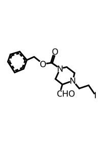 O=CC1CN(C(=O)OCc2ccccc2)CCN1CCI